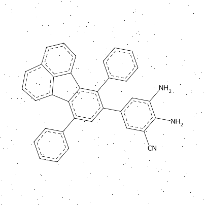 N#Cc1cc(-c2cc(-c3ccccc3)c3c(c2-c2ccccc2)-c2cccc4cccc-3c24)cc(N)c1N